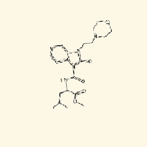 COC(=O)[C@@H](CC(C)C)NC(=O)n1c(=O)n(CCN2CCOCC2)c2ccccc21